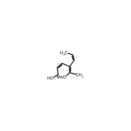 C\C=C/C(/C=C\CO)=C(\C)OC